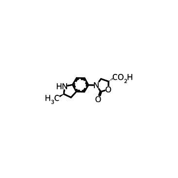 C[C@@H]1Cc2cc(N3C[C@H](C(=O)O)OC3=O)ccc2N1